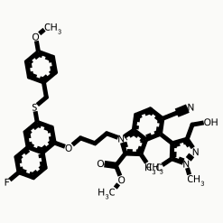 COC(=O)c1c(C)c2c(-c3c(CO)nn(C)c3C)c(C#N)ccc2n1CCCOc1cc(SCc2ccc(OC)cc2)cc2cc(F)ccc12